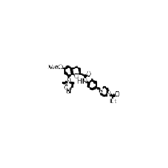 CCC(=O)N1CCN(c2ccc(NC(=O)C3CCc4cc(OC)cc(N5CCN(C)CC5)c4O3)cc2)CC1